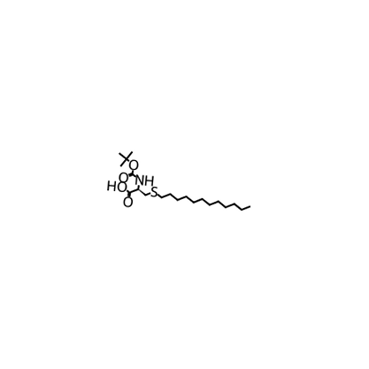 CCCCCCCCCCCCSC[C@H](NC(=O)OC(C)(C)C)C(=O)O